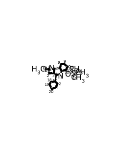 Cn1cc(C(=Nc2ccccc2O[Si](C)(C)C)c2ccccc2)cn1